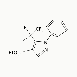 CCOC(=O)c1cnn(-c2ccccc2)c1C(C)(F)C(F)(F)F